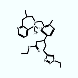 CCOC(=O)CC(CCc1cn(CC)nn1)c1ccc(C)c(CN2CC(C)Cc3ncccc3S2(O)O)c1